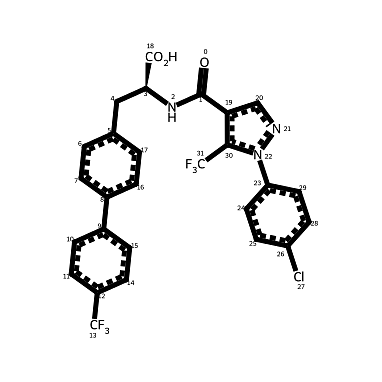 O=C(N[C@@H](Cc1ccc(-c2ccc(C(F)(F)F)cc2)cc1)C(=O)O)c1cnn(-c2ccc(Cl)cc2)c1C(F)(F)F